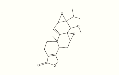 COC1C23OC2CC2C4=C(CCC2(C)C3=CC2OC21C(C)C)C(=O)OC4